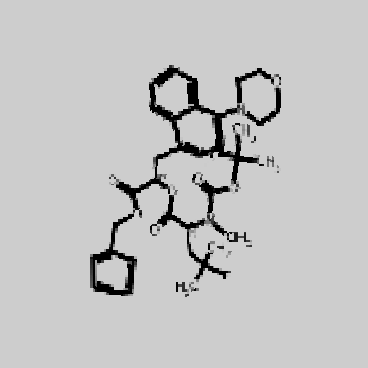 CN(C(=O)OC(C)(C)C)[C@@H](CC(C)(C)F)C(=O)O[C@H](Cc1ccc(N2CCOCC2)c2ccccc12)C(=O)OCc1ccccc1